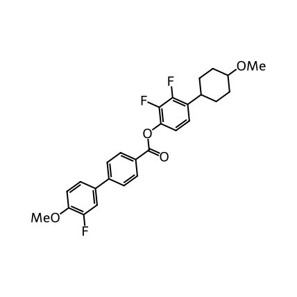 COc1ccc(-c2ccc(C(=O)Oc3ccc(C4CCC(OC)CC4)c(F)c3F)cc2)cc1F